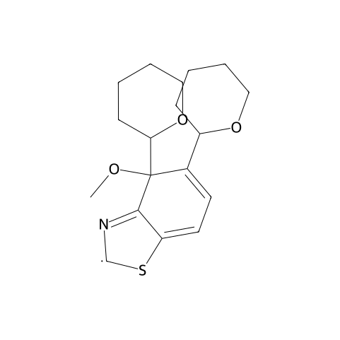 COC1(C2CCCCO2)C(C2CCCCO2)=CC=C2S[CH]N=C21